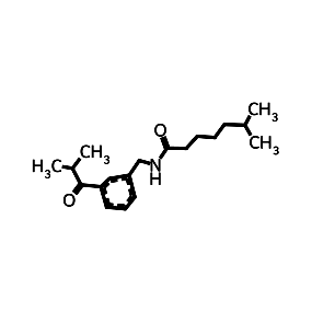 CC(C)CCCCC(=O)NCc1cccc(C(=O)C(C)C)c1